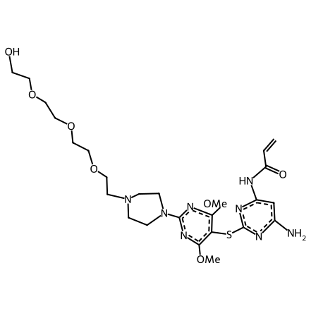 C=CC(=O)Nc1cc(N)nc(Sc2c(OC)nc(N3CCN(CCOCCOCCOCCO)CC3)nc2OC)n1